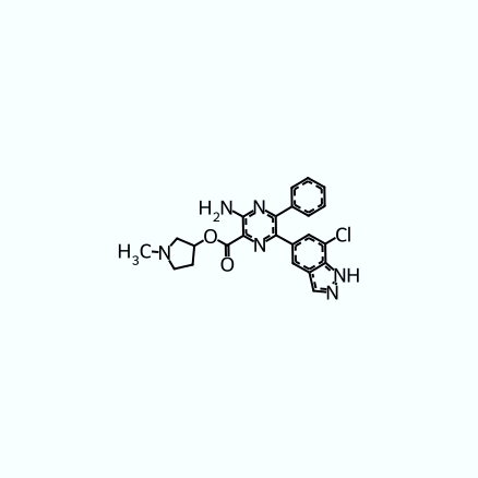 CN1CCC(OC(=O)c2nc(-c3cc(Cl)c4[nH]ncc4c3)c(-c3ccccc3)nc2N)C1